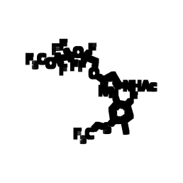 CC(=O)Nc1cc(OCC(F)(F)OC(F)(F)C(F)(F)OC(F)(F)F)nn1-c1cc(SCC(F)(F)F)c(C)cc1F